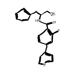 O=C(N[C@H](CO)Cc1ccccc1)c1ccc(-c2ccncc2)cc1F